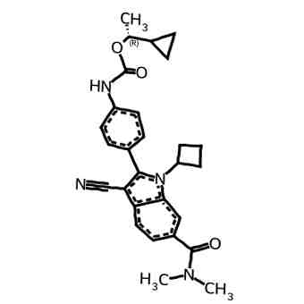 C[C@@H](OC(=O)Nc1ccc(-c2c(C#N)c3ccc(C(=O)N(C)C)cc3n2C2CCC2)cc1)C1CC1